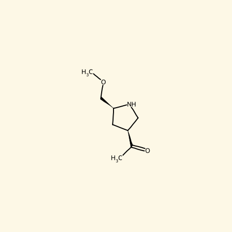 COC[C@@H]1C[C@H](C(C)=O)CN1